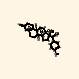 C[C@]12CCC(=O)C=C1CC[C@@H]1[C@H]2CC[C@@]2(C)[C@H]1CCC2(O)C(S)c1ccc(O)cc1